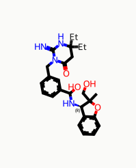 CCC1(CC)CC(=O)N(Cc2cccc(C(O)N[C@@H]3c4ccccc4OC3(C)CO)c2)C(=N)N1